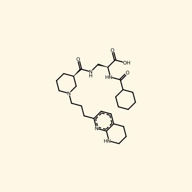 O=C(N[C@@H](CNC(=O)[C@@H]1CCCN(CCCc2ccc3c(n2)NCCC3)C1)C(=O)O)C1CCCCC1